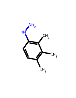 Cc1ccc(NN)c(C)c1C